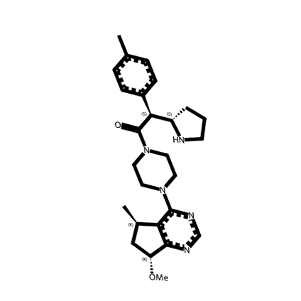 CO[C@@H]1C[C@@H](C)c2c1ncnc2N1CCN(C(=O)[C@@H](c2ccc(C)cc2)[C@@H]2CCCN2)CC1